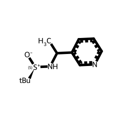 CC(N[S@+]([O-])C(C)(C)C)c1cccnc1